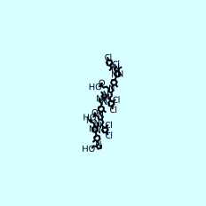 Cc1nn(C(C)c2ccc(Cl)cc2Cl)c2nc(C3=CCC(N4CC(CC(c5ccc(Cl)cc5Cl)n5nc(C)c6ncc(C7=CCC(N8CC(CC(c9ccc(Cl)cc9Cl)n9nc(C#N)c%10ncc(C%11=CC(C)C(N%12CCCC%12CO)CC%11)nc%109)CC8C(=O)O)C(C)C7)nc65)CC4CCC(=O)O)C(C)C3)cnc12